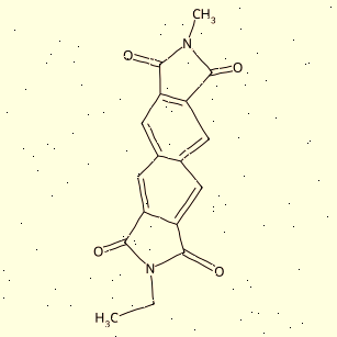 CCn1c(=O)c2cc3cc4c(=O)n(C)c(=O)c4cc3cc2c1=O